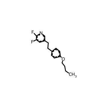 CCCCOc1ccc(CCc2cnc(F)c(F)c2)cc1